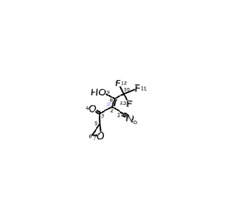 N#C/C(C(=O)C1CO1)=C(/O)C(F)(F)F